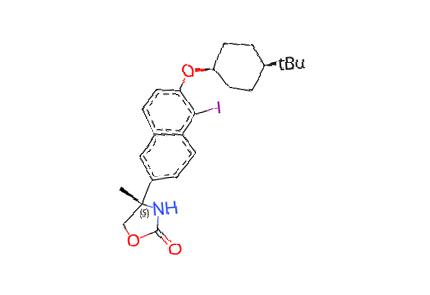 CC(C)(C)[C@H]1CC[C@@H](Oc2ccc3cc([C@@]4(C)COC(=O)N4)ccc3c2I)CC1